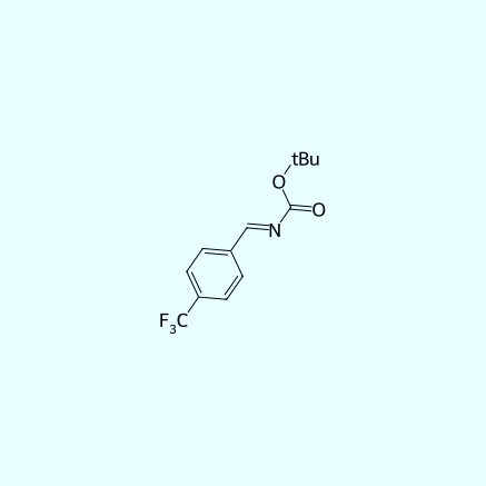 CC(C)(C)OC(=O)N=Cc1ccc(C(F)(F)F)cc1